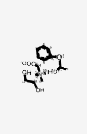 CC(O)Oc1ccccc1.C[N+](C)(C)CC(=O)[O-].OCCO